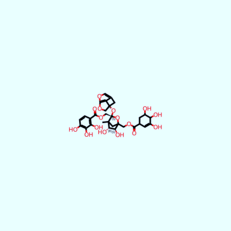 CC12CC(COC(=O)C3C=C(O)C(O)C(O)C3)(O[C@@]1(COC(=O)c1ccc(O)c(O)c1O)O[C@@]13COc4occ(c41)C3)[C@@H](O)[C@@H]2O